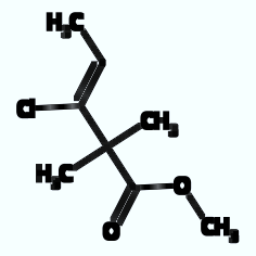 CC=C(Cl)C(C)(C)C(=O)OC